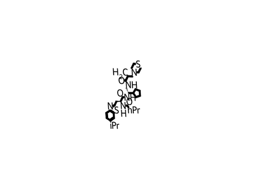 C=C(CN1CCSCC1)C(=O)NC[C@@H](NC(=O)[C@H](Cc1nc2ccc(C(C)C)cc2s1)NC(=O)CCC)C1CCCC1